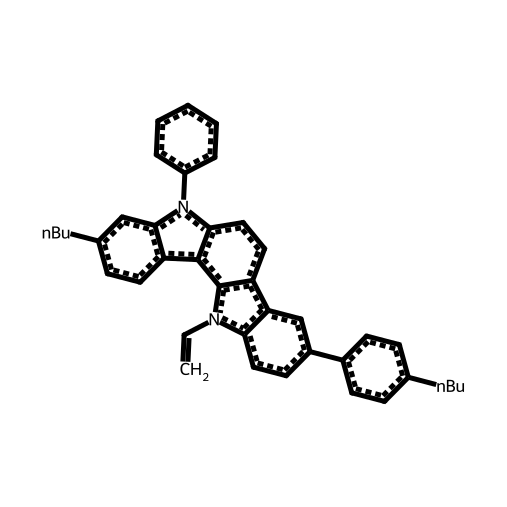 C=Cn1c2ccc(-c3ccc(CCCC)cc3)cc2c2ccc3c(c4ccc(CCCC)cc4n3-c3ccccc3)c21